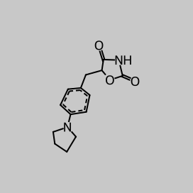 O=C1NC(=O)C(Cc2ccc(N3CCCC3)cc2)O1